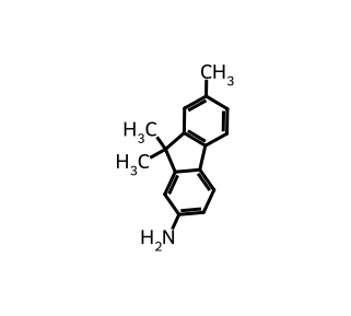 Cc1ccc2c(c1)C(C)(C)c1cc(N)ccc1-2